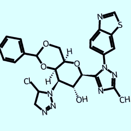 Cc1nc([C@@H]2O[C@@H]3COC(c4ccccc4)O[C@@H]3[C@H](N3N=NCC3Cl)[C@H]2O)n(-c2ccc3ncsc3c2)n1